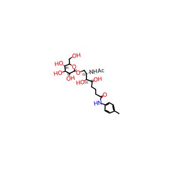 CC(=O)N[C@@H](CO[C@H]1OC(CO)[C@H](O)C(O)[C@@H]1O)[C@H](O)[C@H](O)CCCC(=O)Nc1ccc(C)cc1